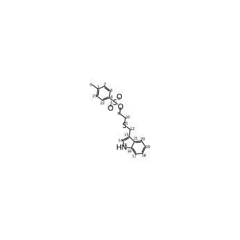 Cc1ccc(S(=O)(=O)OCCSCc2c[nH]c3ccccc23)cc1